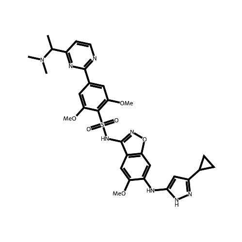 COc1cc2c(NS(=O)(=O)c3c(OC)cc(-c4nccc(C(C)N(C)C)n4)cc3OC)noc2cc1Nc1cc(C2CC2)n[nH]1